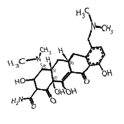 CN(C)Cc1ccc(O)c2c1C[C@H]1C[C@H]3[C@@H](N(C)C)C(O)C(C(N)=O)C(=O)[C@@]3(O)C(O)=C1C2=O